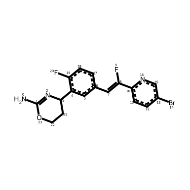 NC1=NC(c2cc(/C=C(\F)c3ccc(Br)cn3)ccc2F)CCO1